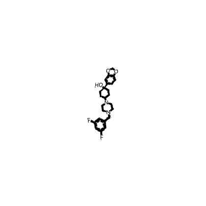 OC1(c2ccc3c(c2)OCO3)CCC(N2CCN(Cc3cc(F)cc(F)c3)CC2)CC1